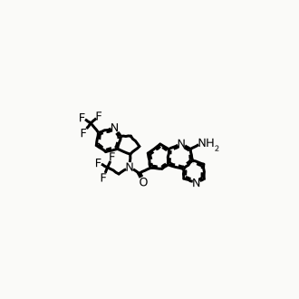 Nc1nc2ccc(C(=O)N(CC(F)(F)F)C3CCc4nc(C(F)(F)F)ccc43)cc2c2cnccc12